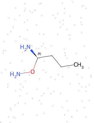 CCC[C@H](N)ON